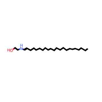 CCCCCCCCCCCCCCCCCCCCC=CNCCO